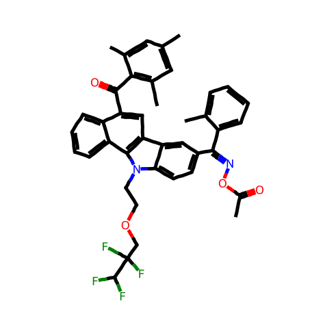 CC(=O)O/N=C(\c1ccc2c(c1)c1cc(C(=O)c3c(C)cc(C)cc3C)c3ccccc3c1n2CCOCC(F)(F)C(F)F)c1ccccc1C